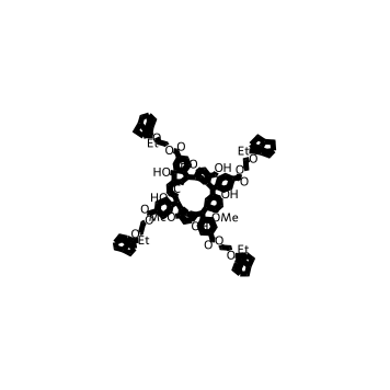 CCC1(OCCOC(=O)c2ccc(C3c4cc(c(OC)cc4O)C(c4ccc(C(=O)OCCOC5(CC)C6CC7CC(C6)CC5C7)cc4)c4cc(c(OC)cc4O)C(c4ccc(C(=O)OCCOC5(CC)C6CC7CC(C6)CC5C7)cc4)c4cc(c(CO)cc4O)C(c4ccc(C(=O)OCCOC5(CC)C6CC7CC(C6)CC5C7)cc4)c4cc3c(CO)cc4O)cc2)C2CC3CC(C2)CC1C3